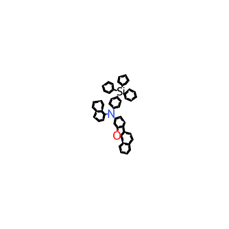 c1ccc([Si](c2ccccc2)(c2ccccc2)c2ccc(N(c3ccc4c(c3)oc3c5ccccc5ccc43)c3cccc4ccccc34)cc2)cc1